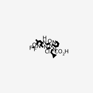 Cc1cc(Nc2nc(Cl)cn(-c3ncccc3N(CCC3CC3)C(=O)O)c2=O)c(C)nc1OC(F)F